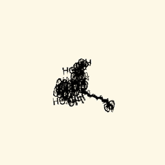 COC(=O)CCCCCCCCO[C@@H]1O[C@H](CO)[C@@H](O[C@@H]2O[C@H](CO)[C@H](O)[C@H](OS(=O)(=O)O)[C@H]2O)[C@H](O[C@@H]2O[C@@H](C)[C@@H](OS(=O)(=O)O)[C@@H](O)[C@@H]2O)[C@H]1NC(C)=O